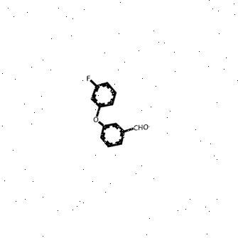 O=[C]c1cccc(Oc2cccc(F)c2)c1